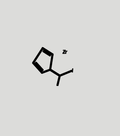 CC(I)C1C=CC=C1.[Zr]